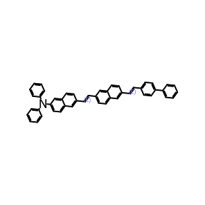 C(=C\c1ccc2cc(/C=C/c3ccc4cc(N(c5ccccc5)c5ccccc5)ccc4c3)ccc2c1)/c1ccc(-c2ccccc2)cc1